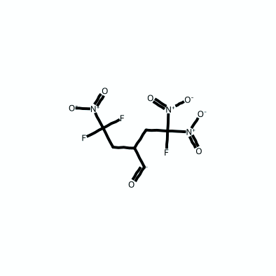 O=[C]C(CC(F)(F)[N+](=O)[O-])CC(F)([N+](=O)[O-])[N+](=O)[O-]